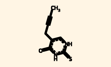 CC#CCc1c[nH]c(=S)[nH]c1=O